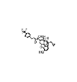 CN(C(=O)CCc1ccc(C(F)(F)F)cc1)C1CC2Oc3c(O)ccc4c3[C@@]23CCN(CC2CC2)[C@H](C4)[C@]3(O)C1